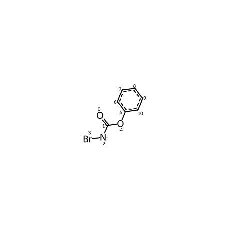 O=C([N]Br)Oc1ccccc1